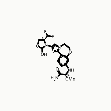 CO[C@H](Nc1ccc2c(c1)OCCn1cc(N3C(O)OC[C@H]3C(F)F)nc1-2)C(N)=O